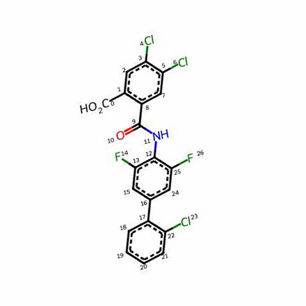 O=C(O)c1cc(Cl)c(Cl)cc1C(=O)Nc1c(F)cc(-c2ccccc2Cl)cc1F